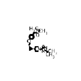 CC(C)c1noc(N2CCC([C@H]3C[C@H]3CCOc3ccc(CC(=O)N(C)C)cc3)CC2)n1